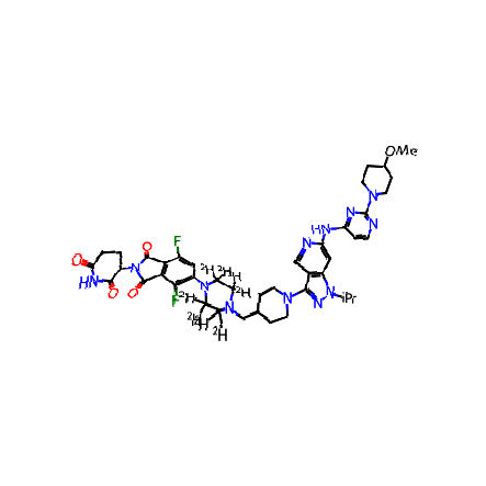 [2H]C1([2H])N(CC2CCN(c3nn(C(C)C)c4cc(Nc5ccnc(N6CCC(OC)CC6)n5)ncc34)CC2)C([2H])([2H])C([2H])([2H])N(c2cc(F)c3c(c2F)C(=O)N(C2CCC(=O)NC2=O)C3=O)C1([2H])[2H]